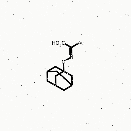 CC(=O)/C(=N/OC12CC3CC(CC(C3)C1)C2)C(=O)O